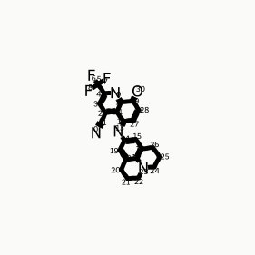 N#Cc1cc(C(F)(F)F)nc2c1C(=Nc1cc3c4c(c1)CCCN4CCC3)C=CC2=O